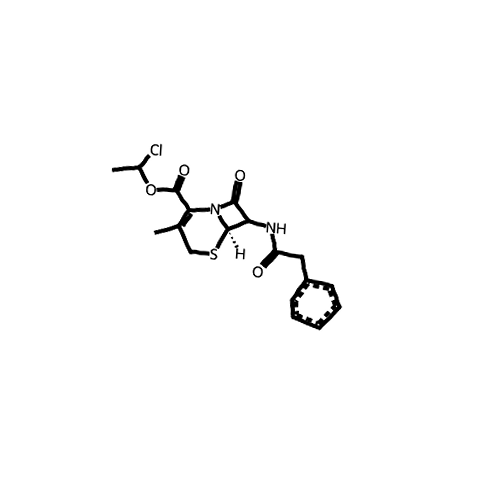 CC1=C(C(=O)OC(C)Cl)N2C(=O)C(NC(=O)Cc3ccccc3)[C@H]2SC1